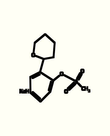 CS(=O)(=O)Oc1ccccc1C1CCCCO1.[NaH]